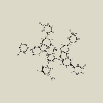 Cc1cccc(-c2ccc3c(c2)c2cc(-c4cccc(C)c4)ccc2n3-c2cc(-c3cc(C)cc(C(F)(F)F)c3)cc(-n3c4ccc(-c5cccc(C)c5)cc4c4cc(-c5cccc(C)c5)ccc43)c2C#N)c1